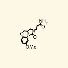 COc1ccc2c(c1)N1C(=O)N(CCC(N)=O)CC1CO2